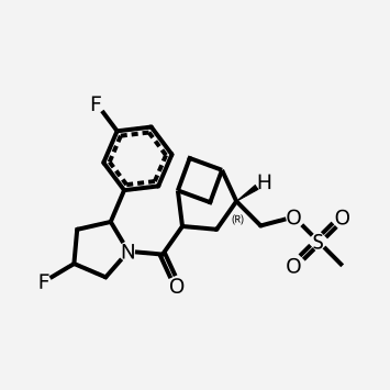 CS(=O)(=O)OC[C@@H]1CC(C(=O)N2CC(F)CC2c2cccc(F)c2)C2CC1C2